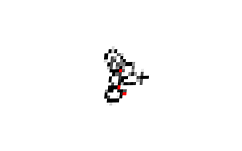 CC(C)(C)OC(=O)N1C2CCC1CC(C(O)c1ccccc1)C2